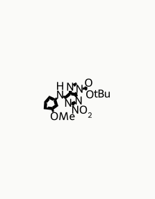 COc1cccc(Nc2nc([N+](=O)[O-])nc3c2ncn3C(=O)OC(C)(C)C)c1